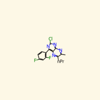 CCCc1nc2c(-c3ccc(F)cc3F)nc(Cl)nc2nc1C